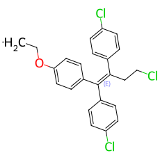 [CH2]COc1ccc(/C(=C(/CCCl)c2ccc(Cl)cc2)c2ccc(Cl)cc2)cc1